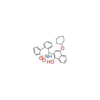 O=S1(=O)NC(c2cc(OC3CCCCC3)c3ccccc3c2O)c2ccccc2-c2ccccc21